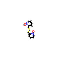 [O-][n+]1ccccc1CSCc1cccc[n+]1[O-]